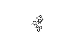 COC(=O)N1CCc2c(C)ccc(-c3ncc(F)c([Si](C)(C)C)c3F)c2C1